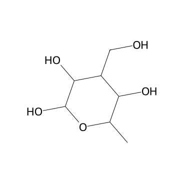 CC1OC(O)C(O)C(CO)C1O